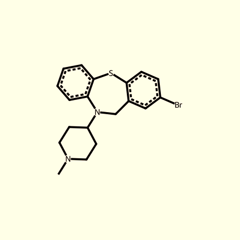 CN1CCC(N2Cc3cc(Br)ccc3Sc3ccccc32)CC1